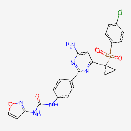 Nc1cc(C2(S(=O)(=O)c3ccc(Cl)cc3)CC2)nc(-c2ccc(NC(=O)Nc3ccon3)cc2)n1